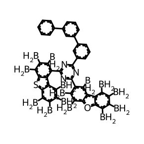 Bc1c(B)c(B)c2c(oc3c(B)c(B)c(-c4nc(-c5cccc(-c6cccc(-c7ccccc7)c6)c5)nc(-c5c(B)c(B)c(B)c6sc7c(B)c(B)c(B)c(B)c7c56)n4)c(B)c32)c1B